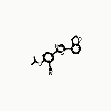 CC(C)Oc1ccc(-c2ncc(-c3cccc4c3CCO4)s2)cc1C#N